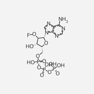 Nc1ncnc2c1ncn2[C@@H]1O[C@H](COP(=O)(O)OP(=O)(O)OP(=O)(O)O)[C@H](O)[C@H]1OF